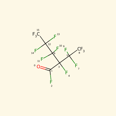 O=C(F)C(F)(C(F)(F)C(F)(F)F)C(F)(F)C(F)(F)C(F)(F)F